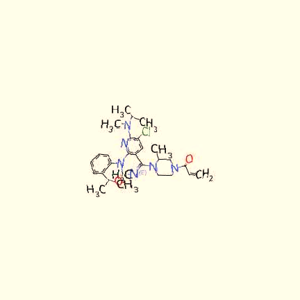 C=CC(=O)N1CCN(/C(=N/C)c2cc(Cl)c(N(C)C(C)C)nc2N(C=O)c2ccccc2C(C)C)C(C)C1